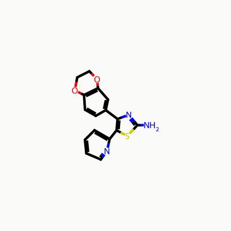 Nc1nc(-c2ccc3c(c2)OCCO3)c(-c2ccccn2)s1